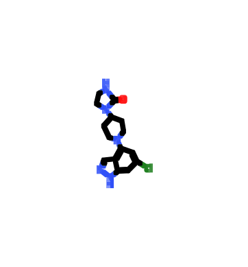 O=C1NCCN1C1CCN(c2cc(Cl)cc3[nH]ncc23)CC1